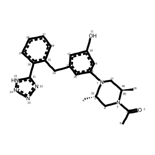 CC(=O)N1C[C@H](C)N(c2cc(O)cc(Cc3ccccc3-c3nnn[nH]3)c2)C[C@H]1C